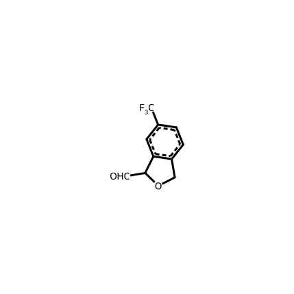 O=CC1OCc2ccc(C(F)(F)F)cc21